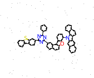 c1ccc(-c2nc(-c3ccc4c(c3)sc3ccccc34)nc(-c3ccc4ccc5oc6c(-n7c8cc9ccccc9cc8c8ccc9ccccc9c87)cccc6c5c4c3)n2)cc1